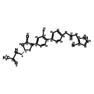 CC(=O)NC[C@H]1CN(c2ccc(-c3ccc(CNCc4[nH]ncc4Br)cc3)c(F)c2)C(=O)O1